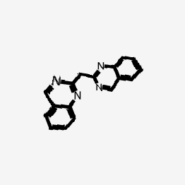 [CH](c1ncc2ccccc2n1)c1ncc2ccccc2n1